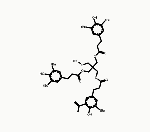 C=C(C)c1cc(CCC(=O)OCC(COC=O)(COC(=O)CCc2cc(C(C)(C)C)c(O)c(C(C)(C)C)c2)COC(=O)CCc2cc(C(C)(C)C)c(O)c(C(C)(C)C)c2)cc(C(C)(C)C)c1O